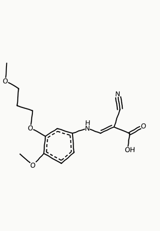 COCCCOc1cc(N/C=C(\C#N)C(=O)O)ccc1OC